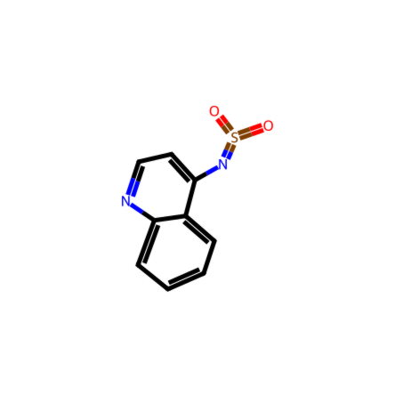 O=S(=O)=Nc1ccnc2ccccc12